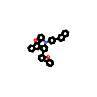 c1ccc2cc(-c3ccc(N(c4ccc(-c5cccc6c5oc5ccccc56)cc4)c4cccc5oc6c7ccccc7ccc6c45)cc3)ccc2c1